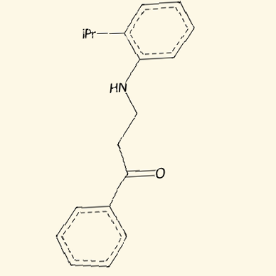 CC(C)c1ccccc1NCCC(=O)c1ccccc1